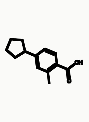 Cc1cc(C2CCCC2)ccc1C(=O)O